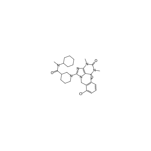 CN(C(=O)C1CCCN(c2nc3c(c(=O)n(C)c(=O)n3C)n2Cc2c(F)cccc2Cl)C1)C1CCCCC1